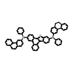 c1ccc(N(c2ccc3c(c2)-c2ccccc2CC3)c2ccc3c(c2)sc2c4ccc(N(c5ccccc5)c5ccc6ccc7ccccc7c6c5)cc4c4ccccc4c32)cc1